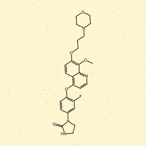 COc1c(OCCCN2CCOCC2)ccc2c(Oc3ccc(N4CCNC4=O)cc3F)ccnc12